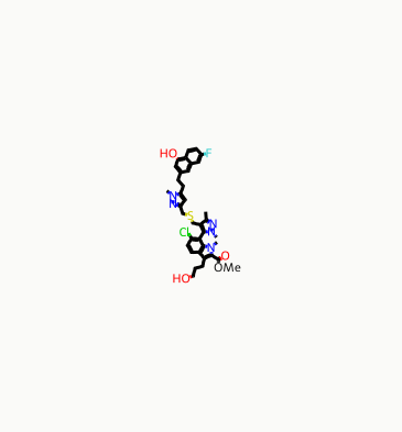 COC(=O)c1c(CCCO)c2ccc(Cl)c(-c3c(CSCc4cc(CCc5cc(O)c6ccc(F)cc6c5)n(C)n4)c(C)nn3C)c2n1C